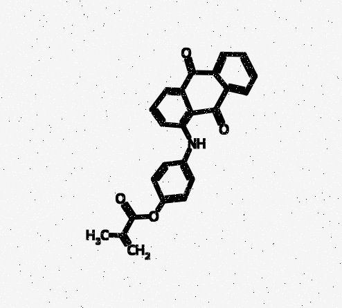 C=C(C)C(=O)Oc1ccc(Nc2cccc3c2C(=O)c2ccccc2C3=O)cc1